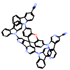 N#Cc1ccc2c(c1)c1ccccc1n2-c1ccc2c(c1)Oc1cc(-n3c4cnccc4c4cc(C#N)ncc43)ccc1C21c2cc(-n3c4ccccc4c4ccccc43)cnc2-c2ncc(-n3c4ccccc4c4ccncc43)cc21